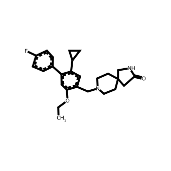 CCOc1cc(-c2ccc(F)cc2)c(C2CC2)cc1CN1CCC2(CC1)CNC(=O)C2